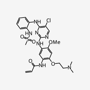 C=CC(=O)Nc1cc(Nc2ncc(Cl)c(Nc3ccccc3NS(C)(=O)=O)n2)c(OC)cc1OCCN(C)C